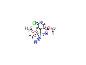 COC[C@](C)(N=[N+]=[N-])c1cnc(OC2CC2)c2cnc(Cl)cc12